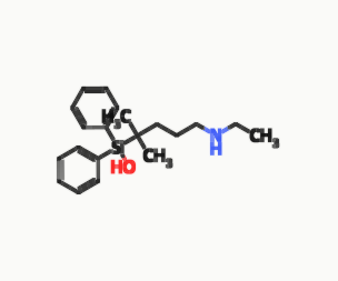 CCNCCCC(C)(C)[Si](O)(c1ccccc1)c1ccccc1